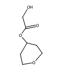 O=C([CH]O)OC1CCOCC1